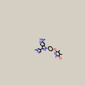 CNc1cc2c(cn1)c(-c1cnn(C)c1)nn2[C@H]1CC[C@@H](Oc2nn(C)c(=O)c(C)c2C)CC1